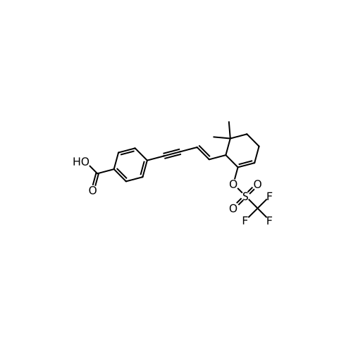 CC1(C)CCC=C(OS(=O)(=O)C(F)(F)F)C1/C=C/C#Cc1ccc(C(=O)O)cc1